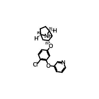 Clc1ccc(O[C@@H]2C[C@H]3CC[C@@H](C2)N3)cc1Oc1cccnc1